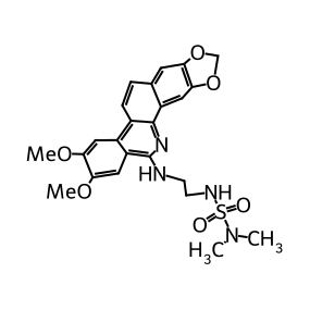 COc1cc2c(NCCNS(=O)(=O)N(C)C)nc3c4cc5c(cc4ccc3c2cc1OC)OCO5